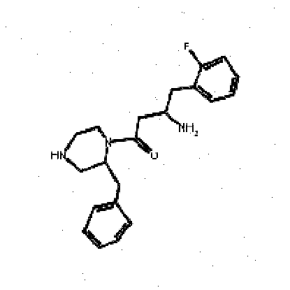 NC(CC(=O)N1CCNCC1Cc1ccccc1)Cc1ccccc1F